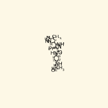 Cc1cc(-c2[nH]nc(C(=O)N[C@H]3CC[C@H](NCC4(C)COC4)CC3)c2C(C)C)cn2ncnc12